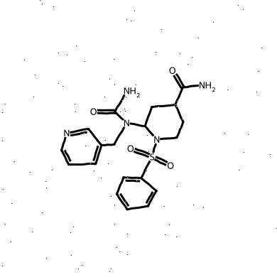 NC(=O)C1CCN(S(=O)(=O)c2ccccc2)C(N(Cc2cccnc2)C(N)=O)C1